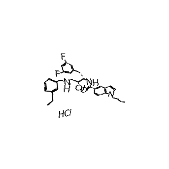 CCCCn1ccc2cc(C(=O)N[C@@H](Cc3cc(F)cc(F)c3)[C@H](O)CNCc3cccc(CC)c3)ccc21.Cl